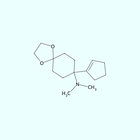 CN(C)C1(C2=CCCC2)CCC2(CC1)OCCO2